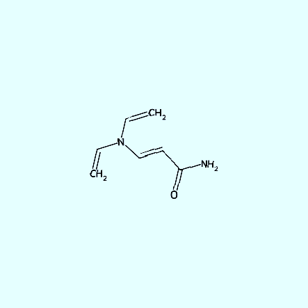 C=CN(C=C)C=CC(N)=O